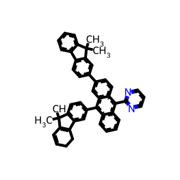 CC1(C)C2=C(CCC=C2)c2cc(-c3c4ccccc4c(-c4ncccn4)c4ccc(-c5ccc6c(c5)C(C)(C)c5ccccc5-6)cc34)ccc21